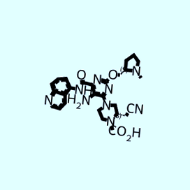 CN1CCC[C@H]1COc1nc(C(=O)Nc2cccc3ncccc23)c(N)c(N2CCN(C(=O)O)[C@@H](CC#N)C2)n1